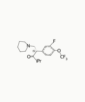 CC(C)C(=O)[C@H](CN1CCCCC1)c1ccc(OC(F)(F)F)c(F)c1